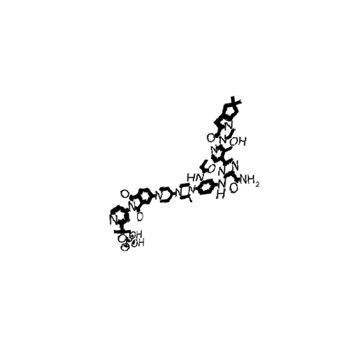 C=CC(=O)Nc1cc(Nc2nc(-c3ccnc(N4CCn5c(cc6c5CC(C)(C)C6)C4=O)c3CO)cnc2C(N)=O)ccc1N1CCN(C2CCN(c3ccc4c(c3)C(=O)N(c3ccnc(C(C)(C)OP(=O)(O)O)c3)C4=O)CC2)C[C@@H]1C